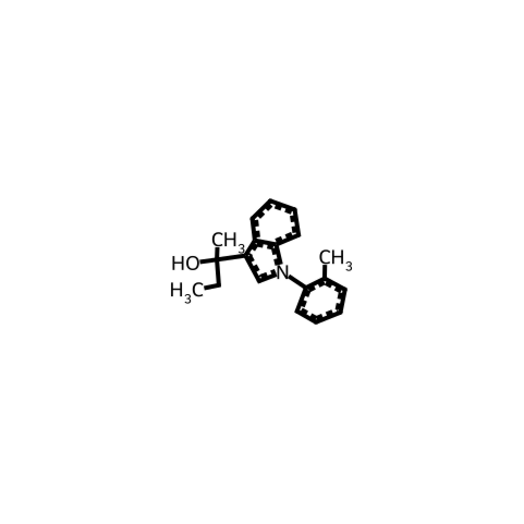 CCC(C)(O)c1cn(-c2ccccc2C)c2ccccc12